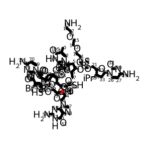 Cc1cn([C@H]2C[C@@H](OP(=S)(OCCOCCOCCN)OCC3O[C@@H](n4ccc(N)nc4=O)C[C@H]3C(C)C)C(COP(=O)(S)O[C@@H]3C[C@H](n4cnc5c(=O)[nH]c(N)nc54)OC3COP(=O)(S)O[C@@H]3C[C@H](n4ccc(N)nc4=O)OC3COP(=O)(S)O[C@@H]3C[C@H](n4cc(Br)c(=O)[nH]c4=O)OC3CO)O2)c(=O)[nH]c1=O